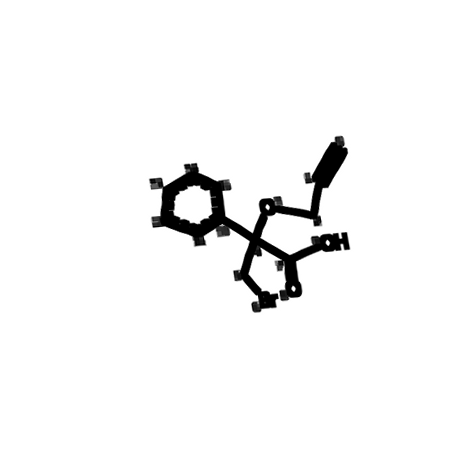 C#CCOC(CBr)(C(=O)O)c1ccccc1